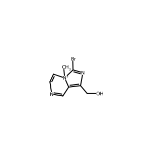 C[N+]12C=CN=CC1=C(CO)N=C2Br